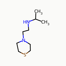 CC(C)NCCN1CCSCC1